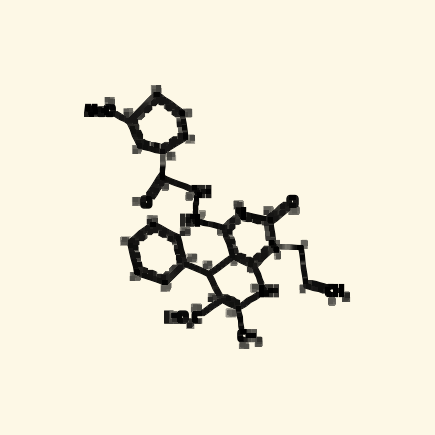 C=CCn1c2c(c(NNC(=O)c3cccc(OC)c3)nc1=O)C(c1ccccc1)C(C(=O)OCC)=C(C)N2